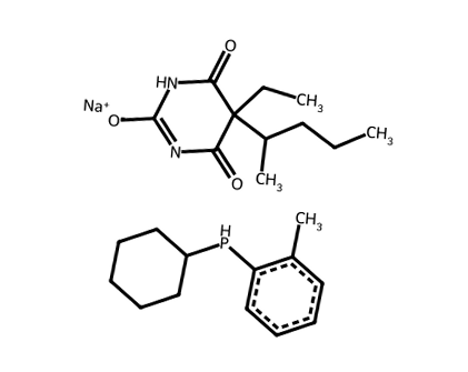 CCCC(C)C1(CC)C(=O)N=C([O-])NC1=O.Cc1ccccc1PC1CCCCC1.[Na+]